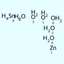 O.O.O.O.O.O.[SnH4].[Zn]